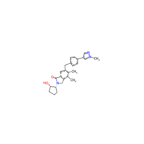 Cc1c(Cc2ccc(-c3cnn(C)c3)cc2)cc2c(c1C)CN([C@@H]1CCC[C@H]1O)C2=O